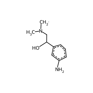 [CH2]N(C)CC(O)c1cccc(N)c1